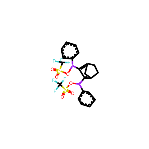 O=S(=O)(OI(C1=C2CCC(=C1I(OS(=O)(=O)C(F)(F)F)c1ccccc1)C2)c1ccccc1)C(F)(F)F